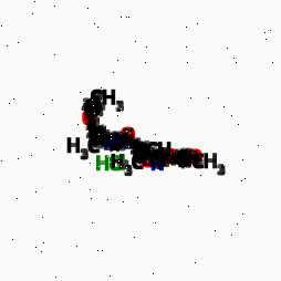 COc1ccc(COc2ccc(Oc3c(C)cc(/C=C/C(=O)N4CCN(Cc5ccc(CCOc6ccc(C)cc6)cc5C)CC4)cc3C)nc2)cc1.Cl